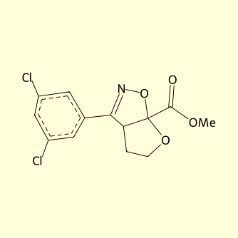 COC(=O)C12OCCC1C(c1cc(Cl)cc(Cl)c1)=NO2